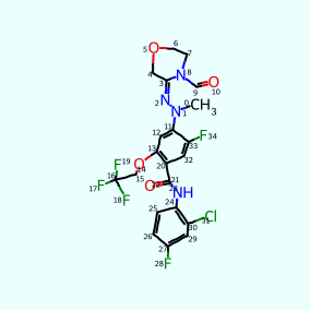 CN(/N=C1/COCCN1C=O)c1cc(OCC(F)(F)F)c(C(=O)Nc2ccc(F)cc2Cl)cc1F